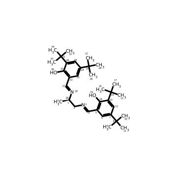 C[C@H](CN=Cc1cc(C(C)(C)C)cc(C(C)(C)C)c1O)N=Cc1cc(C(C)(C)C)cc(C(C)(C)C)c1O